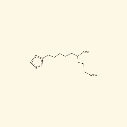 CCCCCCCCCCCCC(CCCCCn1ccnc1)SC